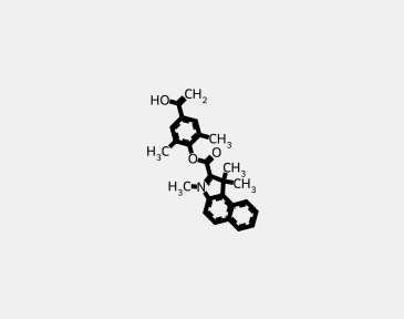 C=C(O)c1cc(C)c(OC(=O)C2=[N+](C)c3ccc4ccccc4c3C2(C)C)c(C)c1